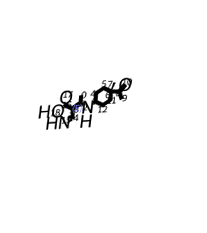 C/C(N[C@H]1CC[C@](C)(C(C)=O)CC1)=C(/C=N)C(=O)O